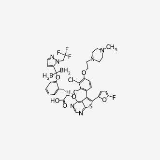 BC(B)(Oc1ccccc1C[C@H](Oc1ncnc2sc(-c3ccc(F)o3)c(-c3ccc(OCCN4CCN(C)CC4)c(Cl)c3C)c12)C(=O)O)c1ccnn1CC(F)(F)F